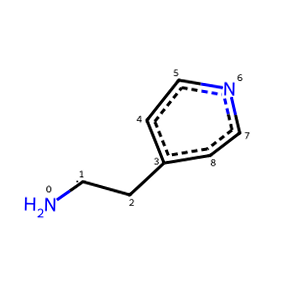 N[CH]Cc1ccncc1